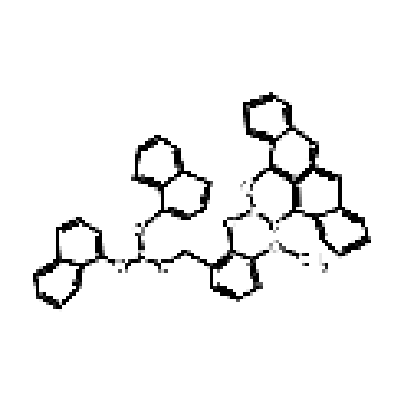 COc1cccc(COP(Oc2cccc3ccccc23)Oc2cccc3ccccc23)c1OP(Oc1cccc2ccccc12)Oc1cccc2ccccc12